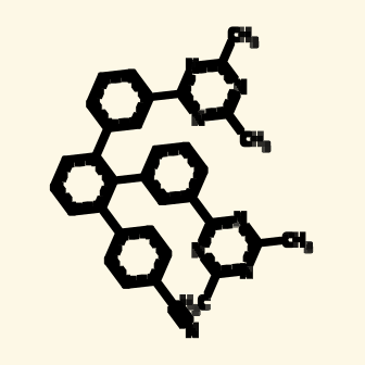 Cc1nc(C)nc(-c2cccc(-c3cccc(-c4ccc(C#N)cc4)c3-c3cccc(-c4nc(C)nc(C)n4)c3)c2)n1